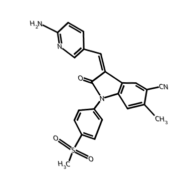 Cc1cc2c(cc1C#N)C(=Cc1ccc(N)nc1)C(=O)N2c1ccc(S(C)(=O)=O)cc1